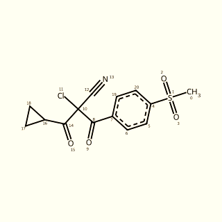 CS(=O)(=O)c1ccc(C(=O)C(Cl)(C#N)C(=O)C2CC2)cc1